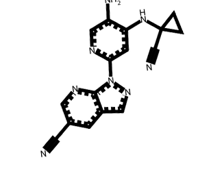 N#Cc1cnc2c(cnn2-c2cc(NC3(C#N)CC3)c(N)cn2)c1